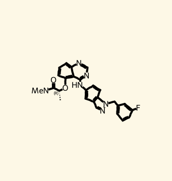 CNC(=O)[C@@H](C)Oc1cccc2ncnc(Nc3ccc4c(cnn4Cc4cccc(F)c4)c3)c12